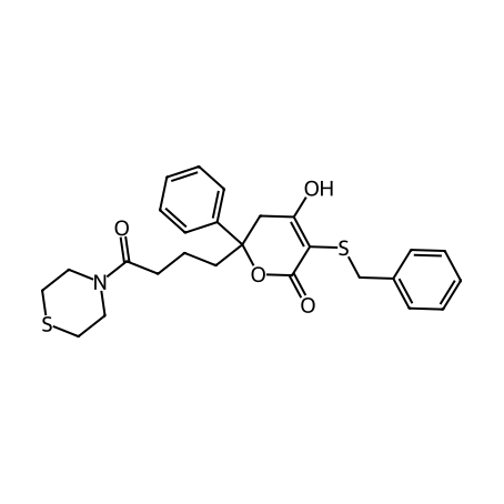 O=C1OC(CCCC(=O)N2CCSCC2)(c2ccccc2)CC(O)=C1SCc1ccccc1